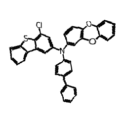 Clc1cc(N(c2ccc(-c3ccccc3)cc2)c2ccc3c(c2)Oc2ccccc2O3)cc2c1sc1ccccc12